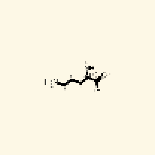 NCCC[C@@H](N)C(=O)F